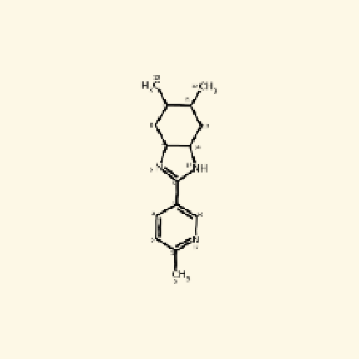 Cc1ccc(C2=NC3CC(C)C(C)CC3N2)cn1